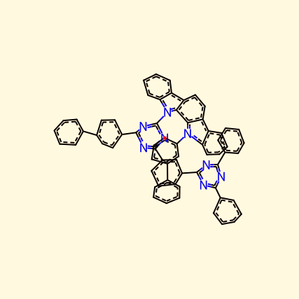 c1ccc(-c2ccc(-c3nc(-c4cccc(-c5nc(-c6ccccc6)nc(-c6ccccc6)n5)c4)nc(-n4c5ccccc5c5ccc6c7ccccc7n(-c7cccc(-c8ccccc8)c7)c6c54)n3)cc2)cc1